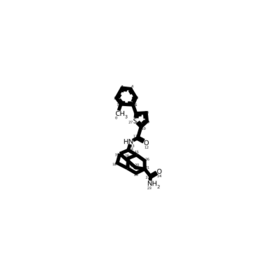 Cc1ccccc1-c1ccc(C(=O)NC2C3CC4CC2CC(C(N)=O)(C4)C3)s1